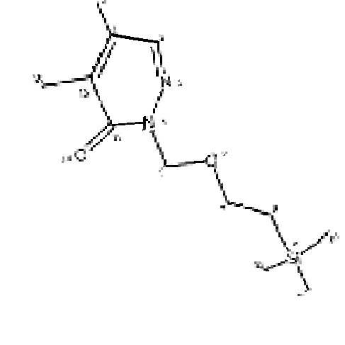 Cc1cnn(COCC[Si](C)(C)C)c(=O)c1C